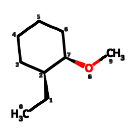 CC[C@H]1CCCC[C@H]1OC